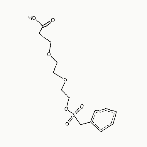 O=C(O)CCOCCOCCOS(=O)(=O)Cc1ccccc1